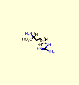 [2H][C@](N)(CC[12C]([2H])([2H])NC(=N)N)C(=O)O